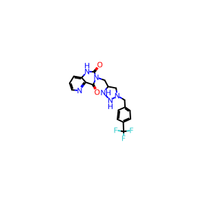 O=c1[nH]c2cccnc2c(=O)n1CC1CN(Cc2ccc(C(F)(F)F)cc2)NN1